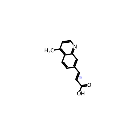 Cc1ccnc2cc(/C=C/C(=O)O)ccc12